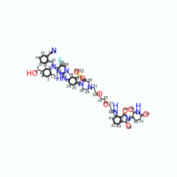 Cc1ccc(CO)cc1N(Cc1ccccc1C#N)c1nc(Nc2ccc(N3CCN(CCOCCOCCNc4cccc5c4C(=O)N(C4CCC(=O)NC4=O)C5=O)CC3)c(S(C)(=O)=O)c2)ncc1F